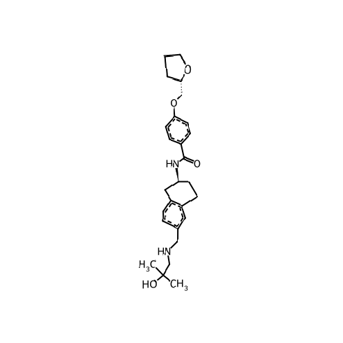 CC(C)(O)CNCc1ccc2c(c1)CC[C@H](NC(=O)c1ccc(OC[C@@H]3CCCO3)cc1)C2